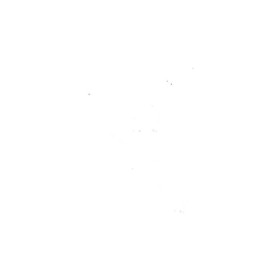 C/C(=C\n1c2c(c3cc(CO)ccc31)CN(C)CC2)c1ccncc1